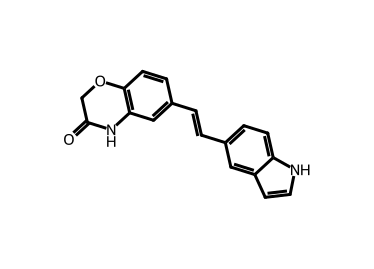 O=C1COc2ccc(C=Cc3ccc4[nH]ccc4c3)cc2N1